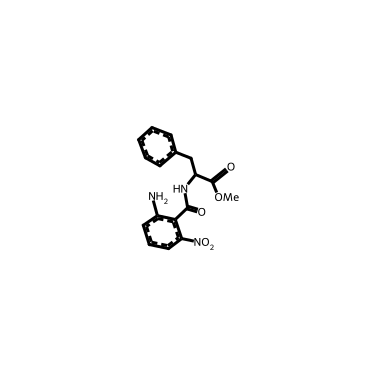 COC(=O)C(Cc1ccccc1)NC(=O)c1c(N)cccc1[N+](=O)[O-]